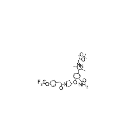 Cc1nn(C[C@H]2COC(C)(C)O2)c(C)c1-c1ccc(OC2CCN(C(=O)Cc3ccc(OC(F)(F)F)cc3)CC2)c(C(N)=O)c1